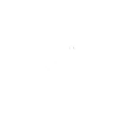 [CH2]C(C)Cc1ccsc1